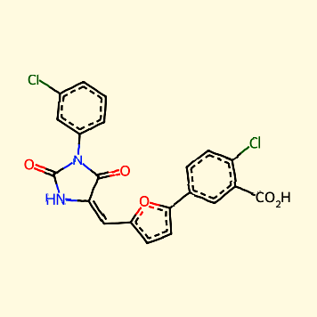 O=C(O)c1cc(-c2ccc(C=C3NC(=O)N(c4cccc(Cl)c4)C3=O)o2)ccc1Cl